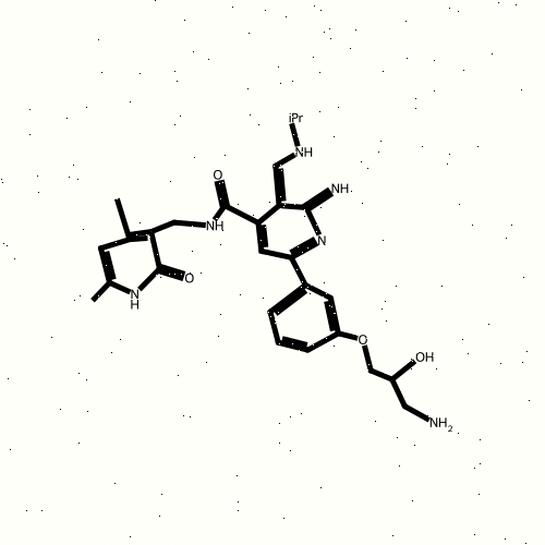 Cc1cc(C)c(CNC(=O)C2=CC(c3cccc(OCC(O)CN)c3)=NC(=N)/C2=C\NC(C)C)c(=O)[nH]1